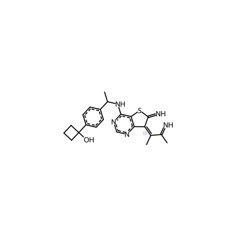 CC(=N)/C(C)=C1\C(=N)Sc2c(NC(C)c3ccc(C4(O)CCC4)cc3)ncnc21